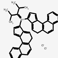 CC(C)[C](C(C)C)=[Zr+2]([C]1=CC=C2C1=CCc1ccc3ccccc3c12)[C]1=CC=C2C1=CCc1ccc3ccccc3c12.[Cl-].[Cl-]